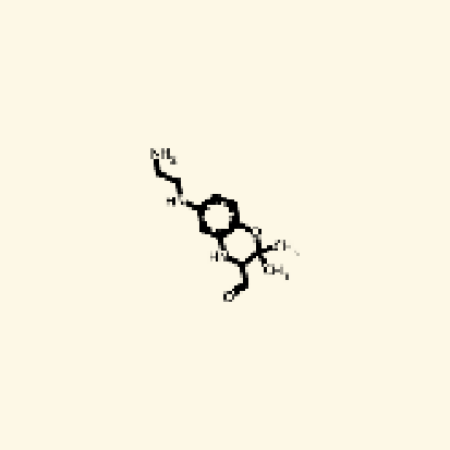 CC1(C)Oc2ccc(NCCN)cc2NC1C=O